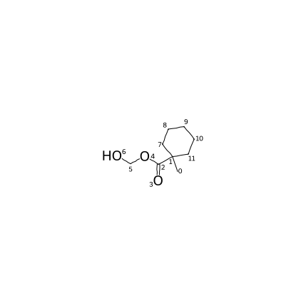 CC1(C(=O)OCO)CCCCC1